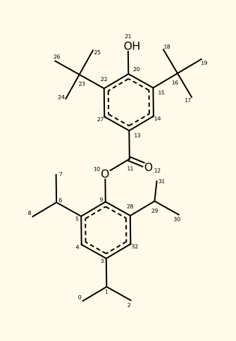 CC(C)c1cc(C(C)C)c(OC(=O)c2cc(C(C)(C)C)c(O)c(C(C)(C)C)c2)c(C(C)C)c1